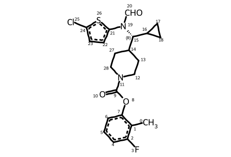 Cc1c(F)cccc1OC(=O)N1CCC([C@@H](C2CC2)N(C=O)c2ccc(Cl)s2)CC1